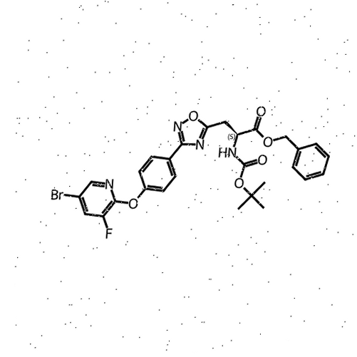 CC(C)(C)OC(=O)N[C@@H](Cc1nc(-c2ccc(Oc3ncc(Br)cc3F)cc2)no1)C(=O)OCc1ccccc1